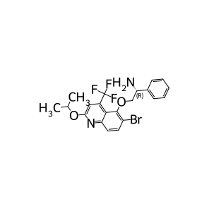 CC(C)Oc1cc(C(F)(F)F)c2c(OC[C@H](N)c3ccccc3)c(Br)ccc2n1